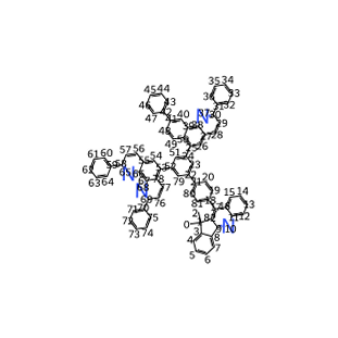 CC1(C)c2ccccc2-c2nc3ccccc3c(-c3ccc(-c4cc(-c5cc6ccc(-c7ccccc7)nc6c6cc(-c7ccccc7)ccc56)cc(-c5cc6ccc(-c7ccccc7)nc6c6nc(-c7ccccc7)ccc56)c4)cc3)c21